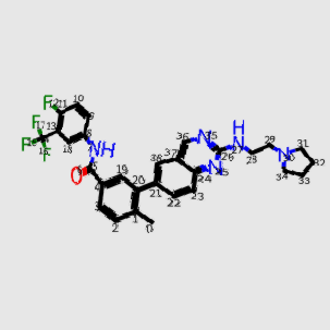 Cc1ccc(C(=O)Nc2ccc(F)c(C(F)(F)F)c2)cc1-c1ccc2nc(NCCN3CCCC3)ncc2c1